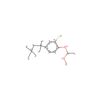 COC(C)Oc1ccc(C(C)(C)CC(C)(C)C)cc1[S]